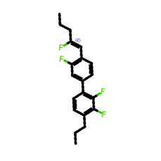 CCC/C(F)=C/c1ccc(-c2ccc(CCC)c(F)c2F)cc1F